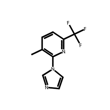 Cc1ccc(C(F)(F)F)nc1-n1ccnc1